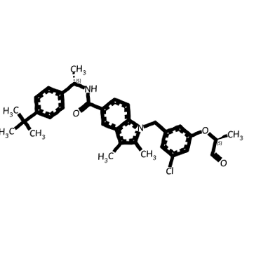 Cc1c(C)n(Cc2cc(Cl)cc(O[C@@H](C)C=O)c2)c2ccc(C(=O)N[C@@H](C)c3ccc(C(C)(C)C)cc3)cc12